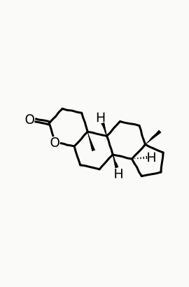 C[C@@]12CCC[C@H]1[C@@H]1CCC3OC(=O)CC[C@]3(C)[C@@H]1CC2